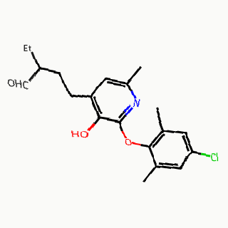 CCC(C=O)CCc1cc(C)nc(Oc2c(C)cc(Cl)cc2C)c1O